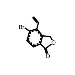 C=Cc1c(Br)ccc2c1COC2=O